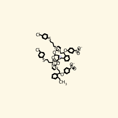 CCc1ccccc1C(CN1C=CN(CCCSc2ccc(Cl)cc2)C1OC(=O)/C=C\C(=O)OC1N(CCCSc2ccc(Cl)cc2)C=CN1CC(Oc1ccc([N+](=O)[O-])cc1)c1ccccc1CC)Oc1ccc([N+](=O)[O-])cc1